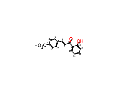 O=C(O)c1ccc(C=CC(=O)c2ccccc2O)cc1